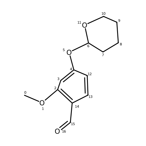 COc1cc(OC2CCCCO2)ccc1C=O